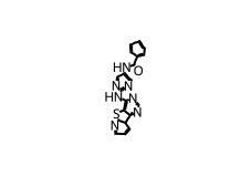 O=C(Nc1cnc(Nc2ncnc3c2SC2N=CC=CC32)nc1)c1ccccc1